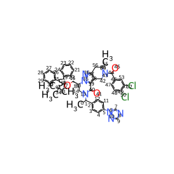 CC(c1ccc(-n2cncn2)cc1)N1C[C@@H](CO[Si](c2ccccc2)(c2ccccc2)C(C)(C)C)n2nc3c(c2C1=O)CN(C(=O)c1ccc(Cl)c(Cl)c1)[C@H](C)C3